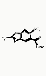 COC(=O)c1cc2nc(C(F)(F)F)sc2cc1[N+](=O)[O-]